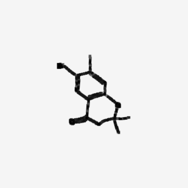 Cc1cc2c(cc1Br)C(=O)CC(C)(C)O2